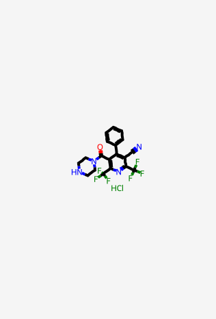 Cl.N#Cc1c(C(F)(F)F)nc(C(F)(F)F)c(C(=O)N2CCNCC2)c1-c1ccccc1